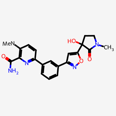 CNc1ccc(-c2cccc(-c3cc(C4(O)CCN(C)C4=O)on3)c2)nc1C(N)=O